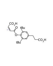 CC(C)(C)c1cc(CCC(=O)O)cc(C(C)(C)C)c1OC(=O)/C=C\C(=O)O